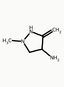 C=C1NN(C)CC1N